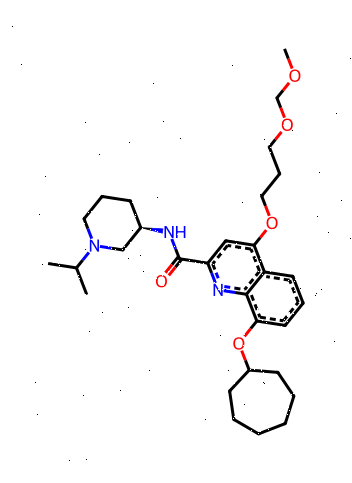 COCOCCCOc1cc(C(=O)N[C@@H]2CCCN(C(C)C)C2)nc2c(OC3CCCCCC3)cccc12